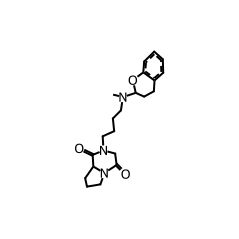 CN(CCCCN1CC(=O)N2CCCC2C1=O)C1CCc2ccccc2O1